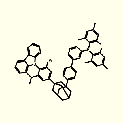 Cc1cc(C)c(B(c2cccc(-c3ccc(C45CC6CC(C4)CC(c4cc(C(C)C)c7c(c4)C(C)c4cccc8c4B7c4ccccc4-8)(C6)C5)cc3)c2)c2c(C)cc(C)cc2C)c(C)c1